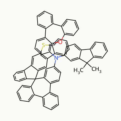 CC1(C)c2ccccc2-c2ccc(N(c3ccc4c(c3)C3(c5ccccc5-c5ccccc5-4)c4ccccc4-c4cc5sc6ccccc6c5cc43)c3cccc4c3Oc3ccccc3-c3ccccc3-4)cc21